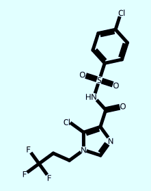 O=C(NS(=O)(=O)c1ccc(Cl)cc1)c1ncn(CCC(F)(F)F)c1Cl